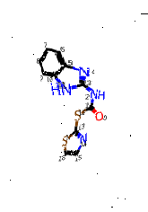 O=C(Nc1nc2ccccc2[nH]1)Sc1nccs1